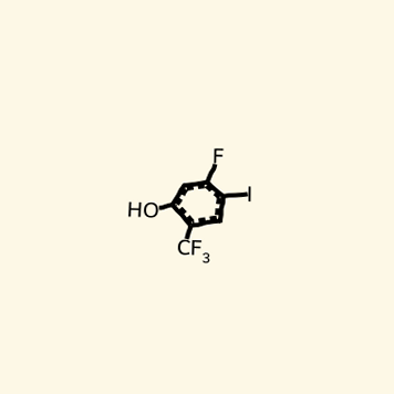 Oc1cc(F)c(I)cc1C(F)(F)F